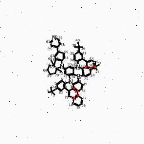 CC(C)(C)c1ccc(N2c3cc(-c4ccccc4)ccc3B3c4ccc(C(C)(C)C)cc4N(c4ccc(C(C)(C)C)cc4-c4ccccc4)c4cc(N5c6ccc(-c7ccncc7)cc6C6(C)CCCCC56C)cc2c43)c(-c2ccccc2)c1